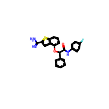 N=C(N)c1cc2c(OC(C(=O)Nc3ccc(F)cc3)c3ccccc3)cccc2s1